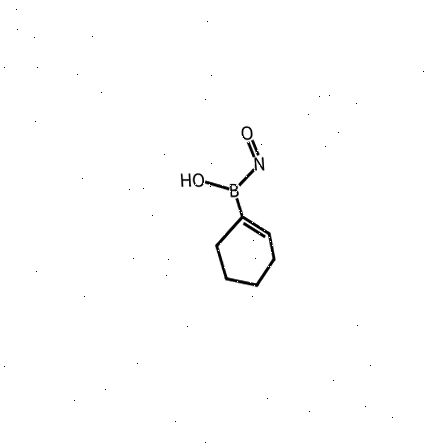 O=NB(O)C1=CCCCC1